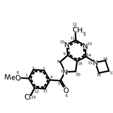 COc1ccc(C(=O)N2Cc3nc(C)nc(N4CCC4)c3C2)cc1Cl